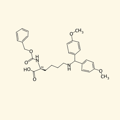 COc1ccc(C(NCCCC[C@H](NC(=O)OCc2ccccc2)C(=O)O)c2ccc(OC)cc2)cc1